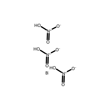 O=[N+]([O-])O.O=[N+]([O-])O.O=[N+]([O-])O.[B]